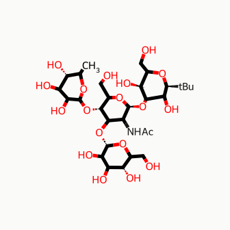 CC(=O)NC1C(O[C@@H]2OC(CO)[C@H](O)C(O)C2O)[C@H](OC2OC(C)[C@@H](O)C(O)C2O)C(CO)O[C@H]1OC1C(O)[C@H](C(C)(C)C)OC(CO)[C@@H]1O